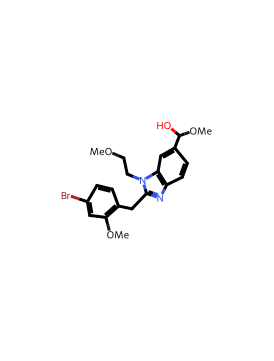 COCCn1c(Cc2ccc(Br)cc2OC)nc2ccc(C(O)OC)cc21